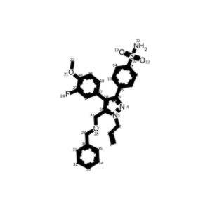 C=CCn1nc(-c2ccc(S(N)(=O)=O)cc2)c(-c2ccc(OC)c(F)c2)c1COCc1ccccc1